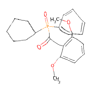 COc1cccc(OC)c1C(=O)P(=O)(c1ccccc1)C1CCCCC1